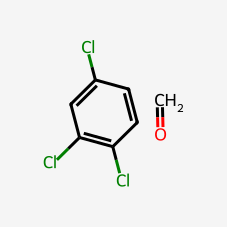 C=O.Clc1ccc(Cl)c(Cl)c1